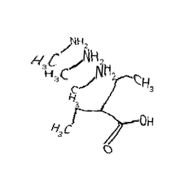 CCC(CC)C(=O)O.CN.CN.CN